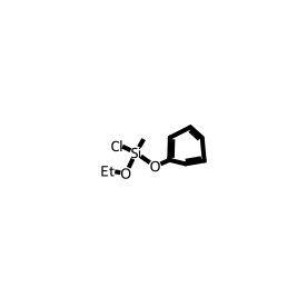 CCO[Si](C)(Cl)Oc1ccccc1